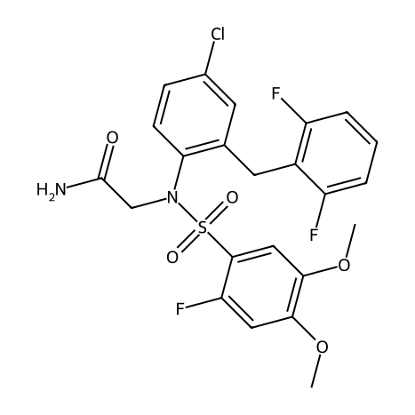 COc1cc(F)c(S(=O)(=O)N(CC(N)=O)c2ccc(Cl)cc2Cc2c(F)cccc2F)cc1OC